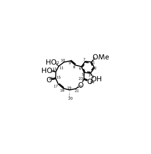 COc1cc(O)c2c(c1)/C=C/C[C@H](O)C(O)C(=O)/C=C\[C@@H](C)COC2=O